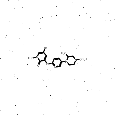 CC1CN(C(=O)O)CCN1c1ccc(Nc2cc(Br)cn(C)c2=O)nc1